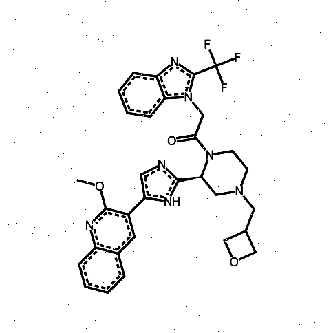 COc1nc2ccccc2cc1-c1cnc([C@@H]2CN(CC3COC3)CCN2C(=O)Cn2c(C(F)(F)F)nc3ccccc32)[nH]1